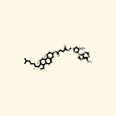 CC(C)CCC[C@@H](C)[C@H]1CCC2C3CC=C4CC(OC(=O)CCC(=O)OC[C@@H]5C[C@@H](O)[C@H](n6cnc7c(N)ncnc76)O5)CC[C@]4(C)C3CC[C@@]21C